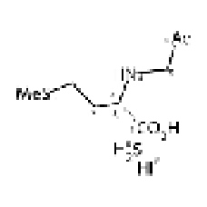 CSCC[C@H](NCC(C)=O)C(=O)O.I.S